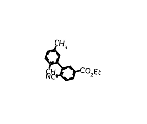 CCOC(=O)c1ccc(C#N)c(-c2cc(C)ccc2C)c1